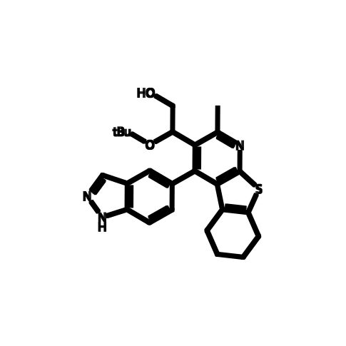 Cc1nc2sc3c(c2c(-c2ccc4[nH]ncc4c2)c1C(CO)OC(C)(C)C)CCCC3